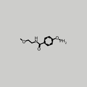 COCCNC(=O)c1ccc(OP)cc1